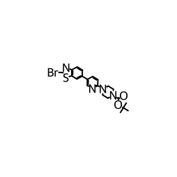 CC(C)(C)OC(=O)N1CCN(c2ccc(-c3ccc4nc(Br)sc4c3)cn2)CC1